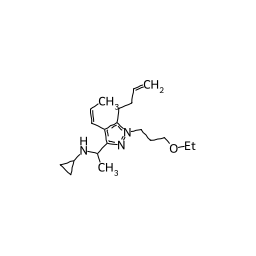 C=CCCc1c(/C=C\C)c(C(C)NC2CC2)nn1CCCOCC